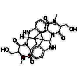 CN1C(=O)C23CC4(C56CC78SSC(CO)(C(=O)N7[C@H]5Nc5ccccc56)N(C)C8=O)c5ccccc5NC4N2C(=O)C1(CO)SS3